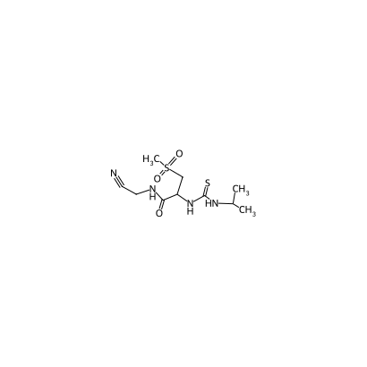 CC(C)NC(=S)NC(CS(C)(=O)=O)C(=O)NCC#N